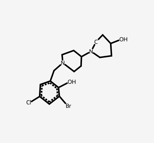 Oc1c(Br)cc(Cl)cc1CN1CCC(N2CCC(O)CC2)CC1